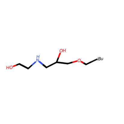 CCC(C)COCC(O)CNCCO